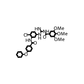 COc1cc(C(=O)NC(=N)Nc2ccc(Cl)c(NC(=O)c3ccc(Oc4ccccc4)cc3)c2)cc(OC)c1OC